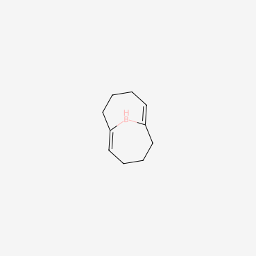 B1C2=CCCCC1=CCCC2